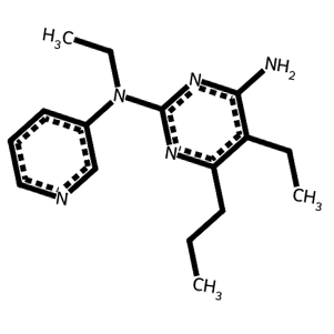 CCCc1nc(N(CC)c2cccnc2)nc(N)c1CC